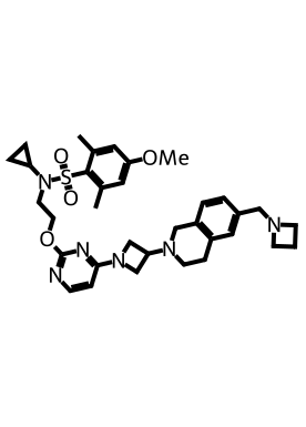 COc1cc(C)c(S(=O)(=O)N(CCOc2nccc(N3CC(N4CCc5cc(CN6CCC6)ccc5C4)C3)n2)C2CC2)c(C)c1